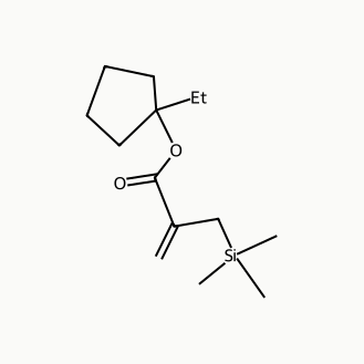 C=C(C[Si](C)(C)C)C(=O)OC1(CC)CCCC1